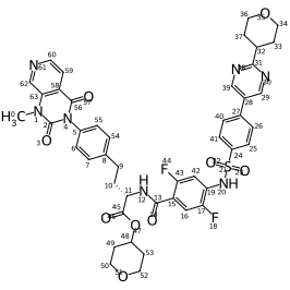 Cn1c(=O)n(-c2ccc(CC[C@H](NC(=O)c3cc(F)c(NS(=O)(=O)c4ccc(-c5cnc(C6CCOCC6)nc5)cc4)cc3F)C(=O)OC3CCOCC3)cc2)c(=O)c2ccncc21